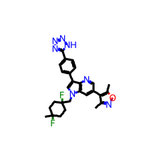 Cc1noc(C)c1-c1cnc2c(-c3ccc(-c4nnn[nH]4)cc3)cn(CC3(F)CCC(C)(F)CC3)c2c1